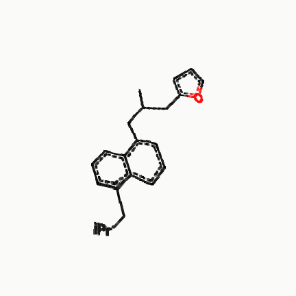 CC(C)Cc1cccc2c(CC(C)Cc3ccco3)cccc12